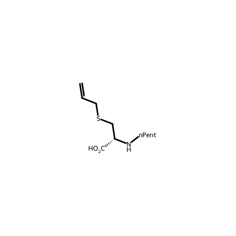 C=CCSC[C@H](NCCCCC)C(=O)O